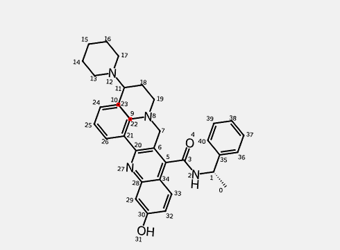 C[C@H](NC(=O)c1c(CN2CCC(N3CCCCC3)CC2)c(-c2ccccc2)nc2cc(O)ccc12)c1ccccc1